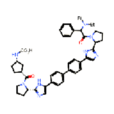 CCN(CC)C(C(=O)N1CCCC1c1ncc(-c2ccc(-c3ccc(-c4cnc([C@@H]5CCCN5C(=O)[C@@H]5CC[C@H](NC(=O)O)C5)[nH]4)cc3)cc2)[nH]1)c1ccccc1